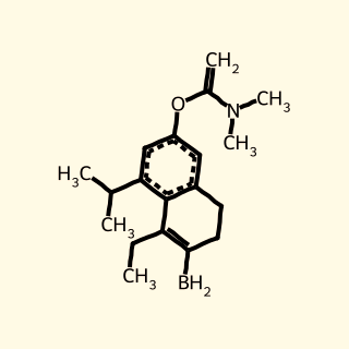 BC1=C(CC)c2c(cc(OC(=C)N(C)C)cc2C(C)C)CC1